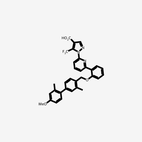 COc1ccc(-c2ccc(COc3ccccc3-c3cccc(-n4ncc(C(=O)O)c4C(F)(F)F)n3)c(C)c2)c(C)c1